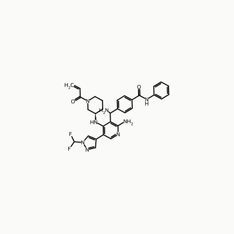 C=CC(=O)N1CCC[C@@H](Nc2c(-c3cnn(C(F)F)c3)cnc(N)c2C(N)c2ccc(C(=O)Nc3ccccc3)cc2)C1